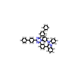 c1ccc(-c2ccc(-c3nc(-c4ccc(-c5ccccc5)cc4)nc(-c4cccc(-c5c6ccccc6n6c7ccccc7n(-c7ccccc7)c56)c4)n3)cc2)cc1